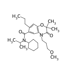 CCCc1cc2c(cc1C(=O)N(C(C)C)C1CCCCC1)N(CCCOC)C(=O)C(C)(C)O2